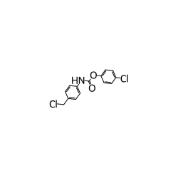 O=C(Nc1ccc(CCl)cc1)Oc1ccc(Cl)cc1